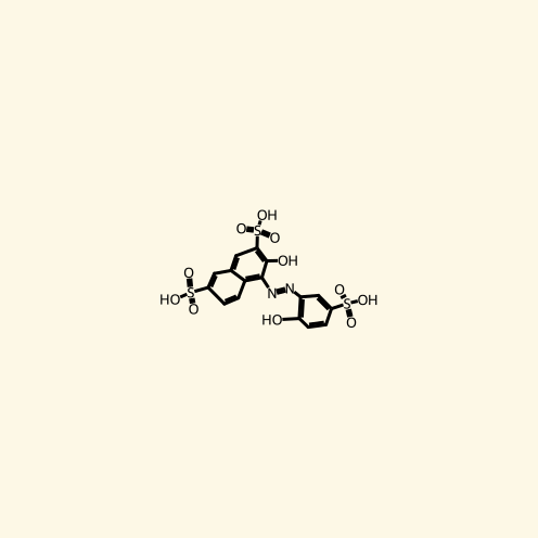 O=S(=O)(O)c1ccc(O)c(N=Nc2c(O)c(S(=O)(=O)O)cc3cc(S(=O)(=O)O)ccc23)c1